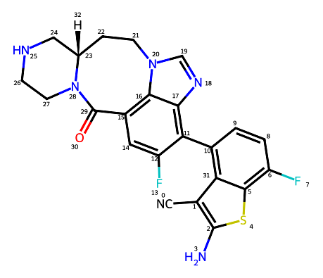 N#Cc1c(N)sc2c(F)ccc(-c3c(F)cc4c5c3ncn5CC[C@H]3CNCCN3C4=O)c12